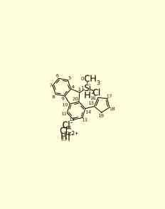 C[SiH](Cl)C1c2ccccc2-c2cccc(C3=CC=CC3)c21.[Cl-].[Cl-].[Hf+2]